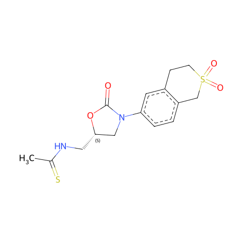 CC(=S)NC[C@H]1CN(c2ccc3c(c2)CCS(=O)(=O)C3)C(=O)O1